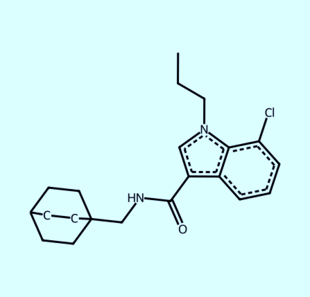 CCCn1cc(C(=O)NCC23CCC(CC2)CC3)c2cccc(Cl)c21